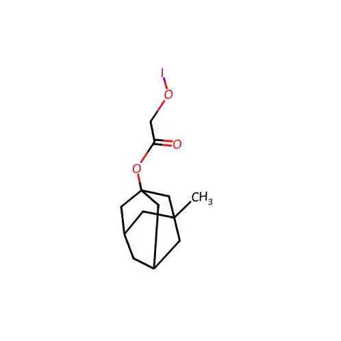 CC12CC3CC(C1)CC(OC(=O)COI)(C3)C2